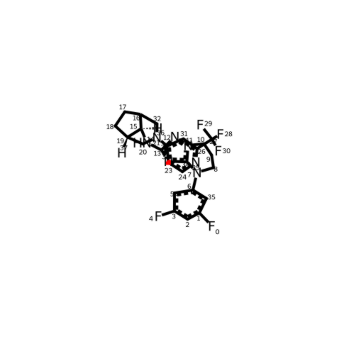 Fc1cc(F)cc(N2CCCn3nc(N[C@@H]4C5CC[C@H]4CN(c4ccnc(C(F)(F)F)c4)C5)nc32)c1